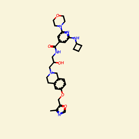 Cc1ncoc1COc1ccc2c(c1)CCN(CC(O)CNC(=O)c1cc(NC3CCC3)nc(N3CCOCC3)c1)C2